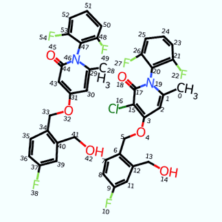 Cc1cc(OCc2ccc(F)cc2CO)c(Cl)c(=O)n1-c1c(F)cccc1F.Cc1cc(OCc2ccc(F)cc2CO)cc(=O)n1-c1c(F)cccc1F